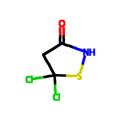 O=C1CC(Cl)(Cl)SN1